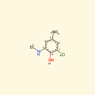 CCNc1cc([N+](=O)[O-])cc(Cl)c1O